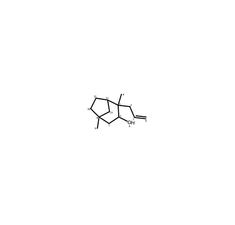 C=CCC1(C)C(O)CC2(C)CCC1C2